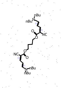 [C-]#[N+]/C(=C/C=C/N(CCCC)CCCC)C(=O)OCCCCOC(=O)/C(C#N)=C\C=C\N(CCCC)CCCC